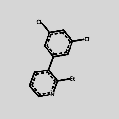 CCc1ncccc1-c1cc(Cl)cc(Cl)c1